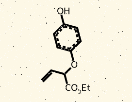 C=CC(Oc1ccc(O)cc1)C(=O)OCC